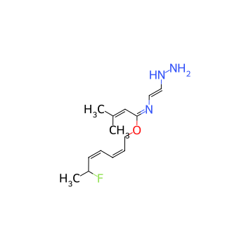 CC(C)=C/C(=N\C=C\NN)OC/C=C\C=C/C(C)F